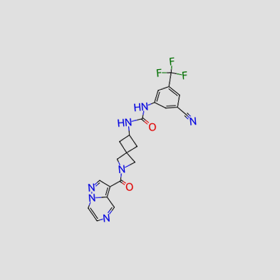 N#Cc1cc(NC(=O)NC2CC3(C2)CN(C(=O)c2cnn4ccncc24)C3)cc(C(F)(F)F)c1